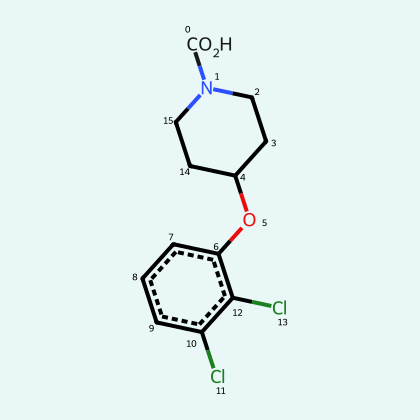 O=C(O)N1CCC(Oc2cccc(Cl)c2Cl)CC1